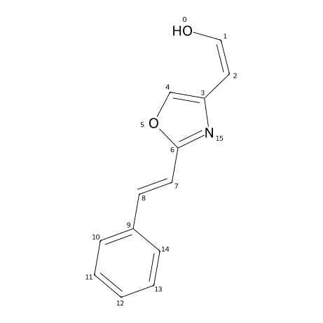 O/C=C\c1coc(/C=C/c2ccccc2)n1